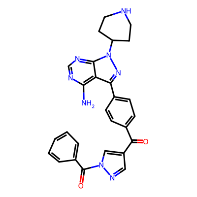 Nc1ncnc2c1c(-c1ccc(C(=O)c3cnn(C(=O)c4ccccc4)c3)cc1)nn2C1CCNCC1